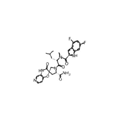 CC(C)C[C@@H](C(=O)N1CC2(C[C@H]1C(N)=O)Oc1ccncc1NC2=O)N(C)C(=O)c1cc2c(F)cc(F)cc2[nH]1